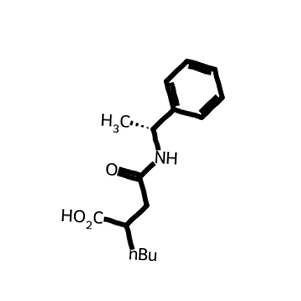 CCCCC(CC(=O)N[C@H](C)c1ccccc1)C(=O)O